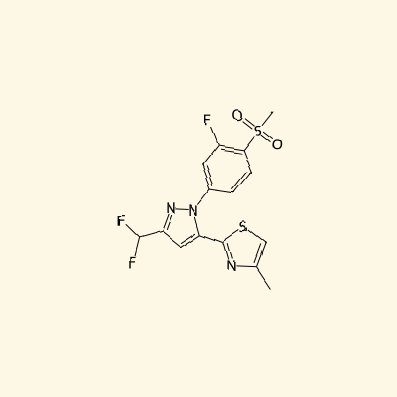 Cc1csc(-c2cc(C(F)F)nn2-c2ccc(S(C)(=O)=O)c(F)c2)n1